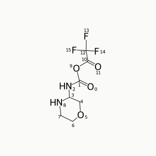 O=C(NC1COCCN1)OC(=O)C(F)(F)F